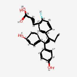 CCC(=C(c1ccc(O)cc1)c1ccc(O)cc1)c1ccc(F)c(C=CC(=O)O)c1